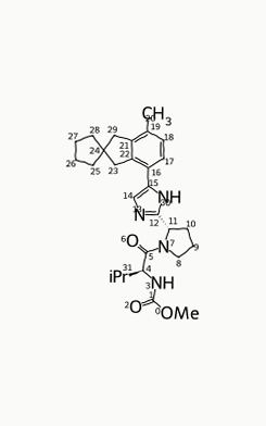 COC(=O)N[C@H](C(=O)N1CCC[C@H]1c1ncc(-c2ccc(C)c3c2CC2(CCCC2)C3)[nH]1)C(C)C